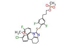 COc1cc(C2CCCc3nc(SCc4c(F)cc(CCCOS(C)(=O)=O)cc4F)n(-c4ccc(F)cc4)c32)ccc1Cl